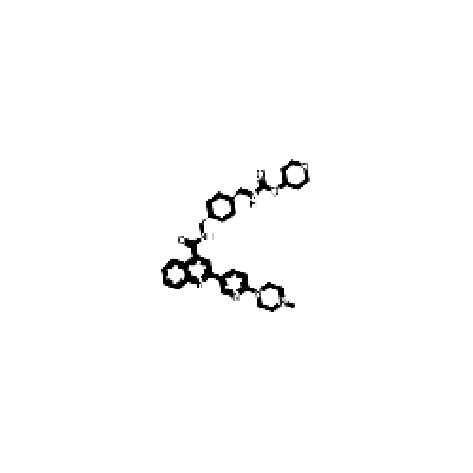 CN1CCN(c2ccc(-c3cc(C(=O)NC[C@H]4CC[C@H](CNC(=O)OC5CCOCC5)CC4)c4ccccc4n3)cn2)CC1